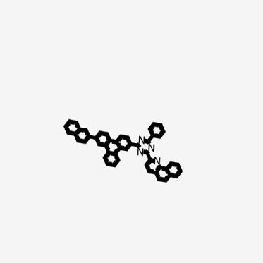 c1ccc(-c2nc(-c3ccc4c5ccc(-c6ccc7ccccc7c6)cc5c5ccccc5c4c3)nc(-c3ccc4ccc5ccccc5c4n3)n2)cc1